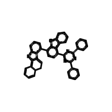 C1=CC2=c3sc4cccc(-c5ccc(-c6nc(-c7ccccc7)nc(-c7ccccc7)n6)c6c5oc5ccccc56)c4c3=CCC2C=C1